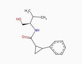 CC(C)[C@H](CO)NC(=O)C1CC1c1ccccc1